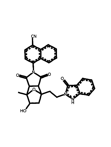 CC12OC(CCn3[nH]c4ccccc4c3=O)(CC1O)C1C(=O)N(c3ccc(C#N)c4ccccc34)C(=O)C12